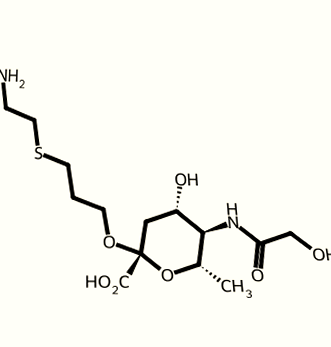 C[C@@H]1O[C@@](OCCCSCCN)(C(=O)O)C[C@H](O)[C@H]1NC(=O)CO